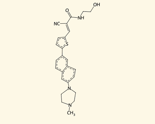 CN1CCN(c2ccc3cc(-c4ccc(/C=C(\C#N)C(=O)NCCO)s4)ccc3c2)CC1